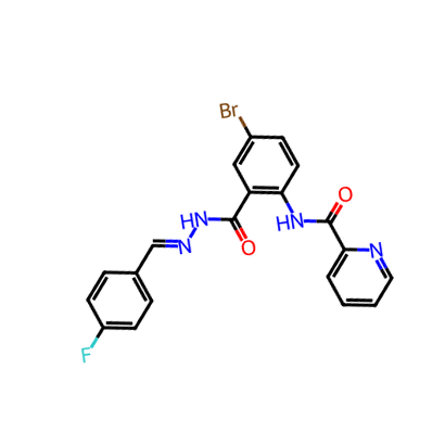 O=C(Nc1ccc(Br)cc1C(=O)N/N=C/c1ccc(F)cc1)c1ccccn1